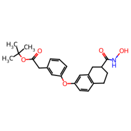 CC(C)(C)OC(=O)Cc1cccc(Oc2ccc3c(c2)CC(C(=O)NO)CC3)c1